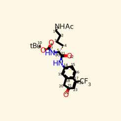 CC(=O)NCCCC[C@@H](NC(=O)OC(C)(C)C)C(=O)Nc1ccc2c(c1)CC(=O)C=C2C(F)(F)F